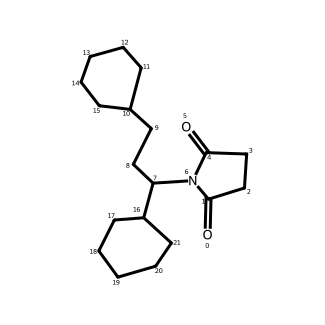 O=C1CCC(=O)N1C(CCC1CCCCC1)C1CCCCC1